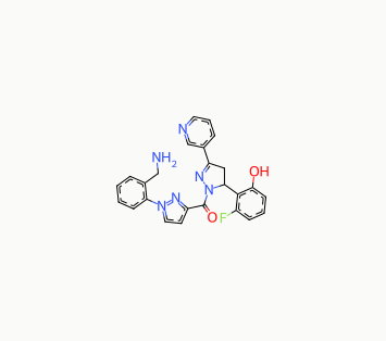 NCc1ccccc1-n1ccc(C(=O)N2N=C(c3cccnc3)CC2c2c(O)cccc2F)n1